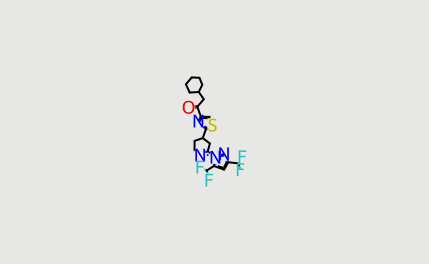 O=C(CC1CCCCC1)c1csc(C2CC[N]C(n3nc(C(F)F)cc3C(F)F)C2)n1